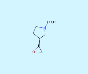 O=C(O)N1CC[C@H](C2CO2)C1